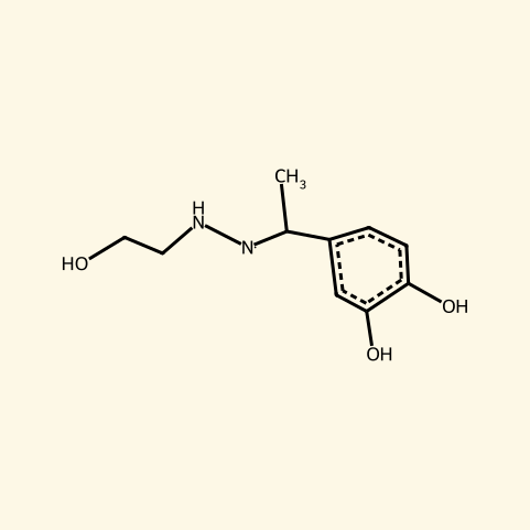 CC([N]NCCO)c1ccc(O)c(O)c1